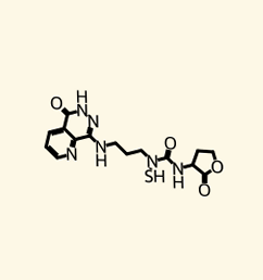 O=C1OCCC1NC(=O)N(S)CCCNc1n[nH]c(=O)c2cccnc12